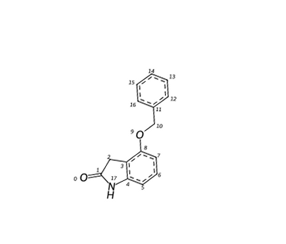 O=C1Cc2c(cccc2OCc2ccccc2)N1